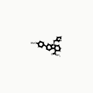 COc1ccc(-c2c[c]c3c4c(C(N)=O)cccc4n(Cc4ccsc4)c3c2)cc1